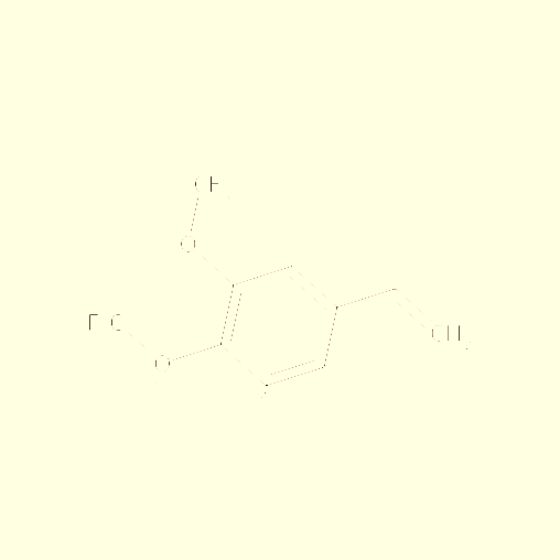 C=Cc1ccc(OC(F)(F)F)c(OC(F)(F)F)c1